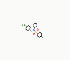 Cc1ccc(S(=O)(=O)N(Cc2ccc(Cl)cc2)C2CCCC2)cc1